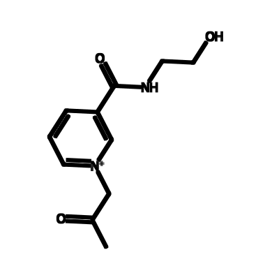 CC(=O)C[n+]1cccc(C(=O)NCCO)c1